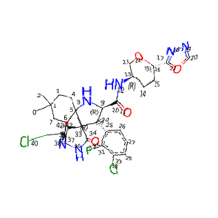 CC1(C)CCC2(CC1)N[C@@H](C(=O)N[C@@H]1CC[C@@H](c3nnco3)OC1)[C@H](c1cccc(Cl)c1F)[C@]21C(=O)Nc2nc(Cl)ccc21